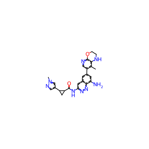 Cc1c(-c2cc(N)c3nnc(NC(=O)C4CC4c4cnn(C)c4)cc3c2)cnc2c1NCCO2